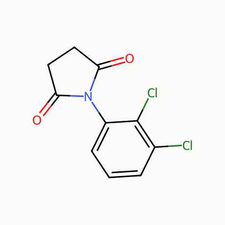 O=C1CCC(=O)N1c1cccc(Cl)c1Cl